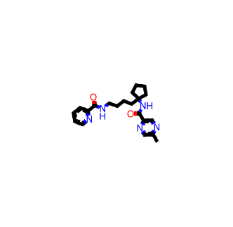 Cc1cnc(C(=O)NC2(CCCCNC(=O)c3ccccn3)CCCC2)cn1